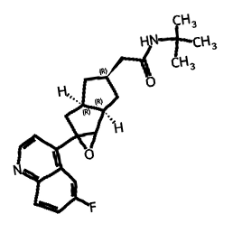 CC(C)(C)NC(=O)C[C@@H]1C[C@@H]2CC3(c4ccnc5ccc(F)cc45)OC3[C@@H]2C1